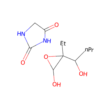 CCCC(O)C1(CC)OC1O.O=C1CNC(=O)N1